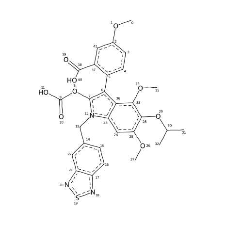 COc1ccc(-c2c(OC(=O)O)n(Cc3ccc4nsnc4c3)c3cc(OC)c(OC(C)C)c(OC)c23)c(C(=O)O)c1